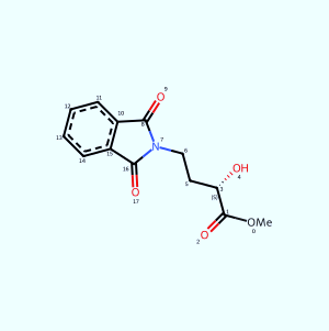 COC(=O)[C@@H](O)CCN1C(=O)c2ccccc2C1=O